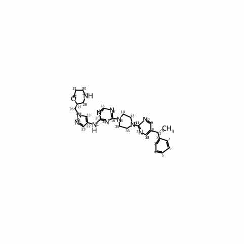 C[C@H](c1ccccc1)c1cnc(N2CCN(c3ncnc(Nc4cnn(C[C@@H]5CNCCO5)c4)n3)CC2)nc1